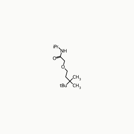 CC(C)NC(=O)COCCC(C)(C)C(C)(C)C